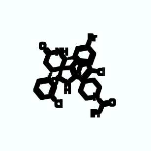 CC(C)C(=O)N1CCC(Oc2ccc(Br)cc2[C@H]2NC(=O)C[C@@H](c3cccc(Cl)c3)[C@]23C(=O)Nc2cc(Cl)ccc23)CC1